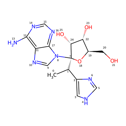 CC(c1c[nH]cn1)[C@@]1(n2cnc3c(N)ncnc32)O[C@H](CO)[C@@H](O)[C@H]1O